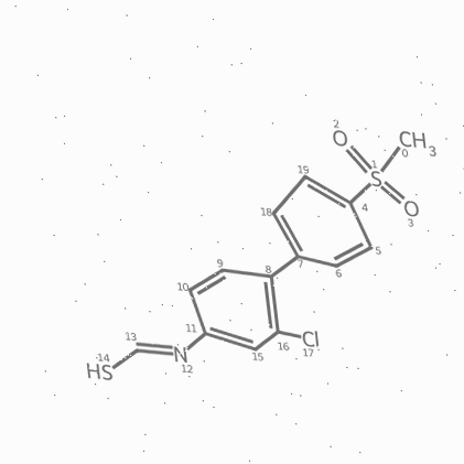 CS(=O)(=O)c1ccc(-c2ccc(N=CS)cc2Cl)cc1